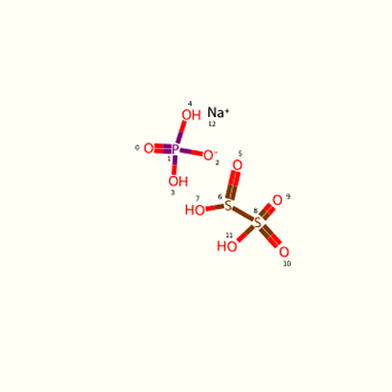 O=P([O-])(O)O.O=S(O)S(=O)(=O)O.[Na+]